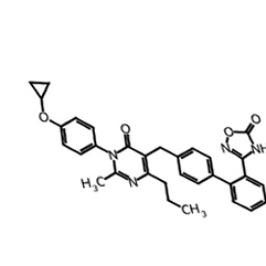 CCCc1nc(C)n(-c2ccc(OC3CC3)cc2)c(=O)c1Cc1ccc(-c2ccccc2-c2noc(=O)[nH]2)cc1